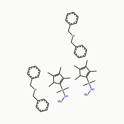 CC1=C(C)C(C)C([Si](C)(C)NC(C)(C)C)=C1C.CC1=C(C)C(C)C([Si](C)(C)NC(C)(C)C)=C1C.c1ccc([CH2][Zr][CH2]c2ccccc2)cc1.c1ccc([CH2][Zr][CH2]c2ccccc2)cc1